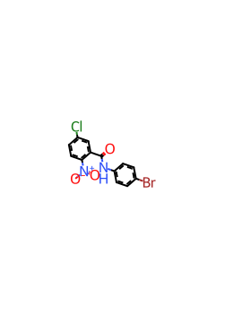 O=C(Nc1ccc(Br)cc1)c1cc(Cl)ccc1[N+](=O)[O-]